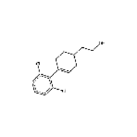 OCCC1CC=C(c2c(Cl)cccc2Cl)CC1